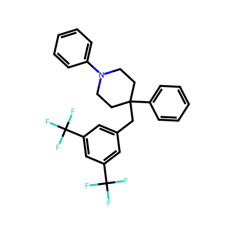 FC(F)(F)c1cc(CC2(c3ccccc3)CCN(c3ccccc3)CC2)cc(C(F)(F)F)c1